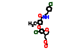 Cc1cc(C(=O)NCCc2ccc(Cl)cc2)ccc1Oc1cc2c(cc1Cl)C(CCOC=O)CCO2